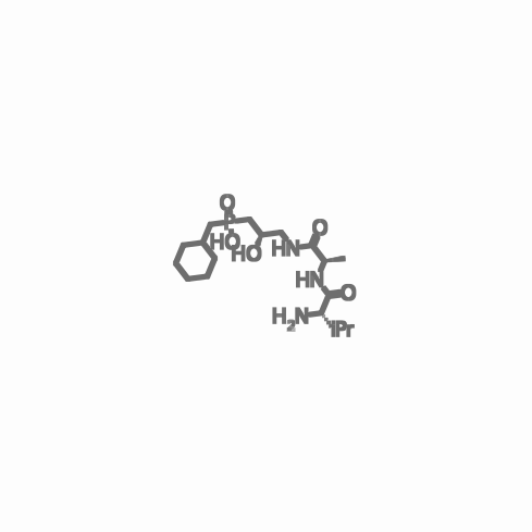 CC(C)[C@H](N)C(=O)N[C@H](C)C(=O)NC[C@@H](O)CP(=O)(O)CC1CCCCC1